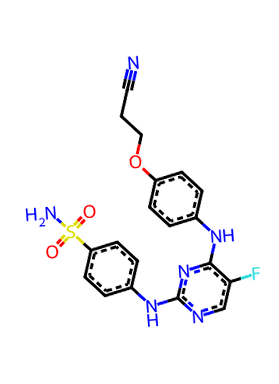 N#CCCOc1ccc(Nc2nc(Nc3ccc(S(N)(=O)=O)cc3)ncc2F)cc1